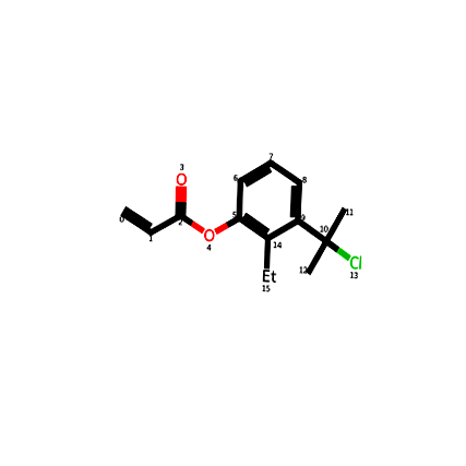 C=CC(=O)Oc1cccc(C(C)(C)Cl)c1CC